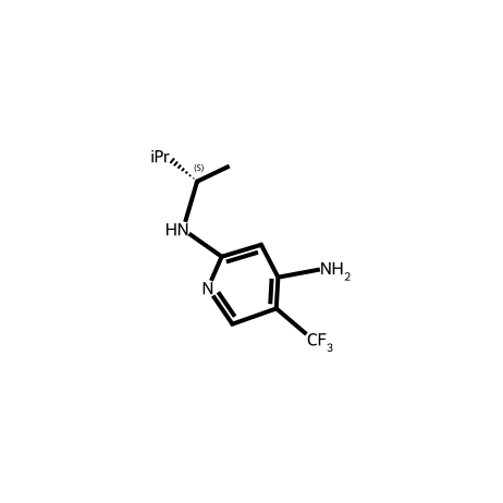 CC(C)[C@H](C)Nc1cc(N)c(C(F)(F)F)cn1